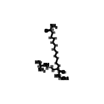 CCCCCCCCNC(=O)C(CCCCCCCCCCCC(N)=O)CCCNC(=N)N